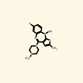 CCCN1c2ccc(F)cc2N=C(N2CCN(C)CC2)c2cc(C)sc21